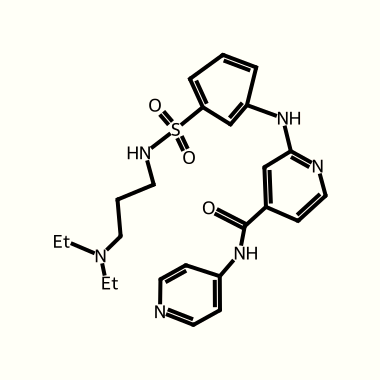 CCN(CC)CCCNS(=O)(=O)c1cccc(Nc2cc(C(=O)Nc3ccncc3)ccn2)c1